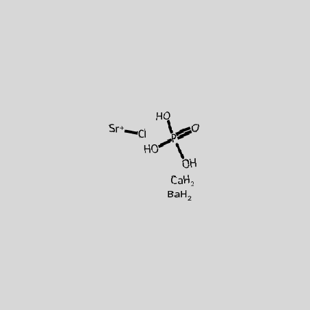 O=P(O)(O)O.[BaH2].[CaH2].[Cl][Sr+]